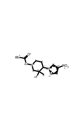 CC(C)(C)C(=O)ON1CCC(n2cc([N+](=O)[O-])cn2)C(C)(F)C1